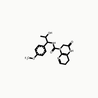 CC(O)C(NC(=O)N1CC(=O)NC2=C1N=CCC2)c1ccc(OC(F)(F)F)cc1